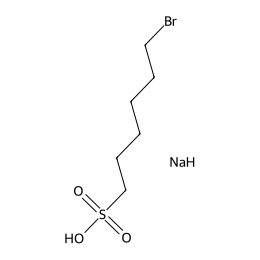 O=S(=O)(O)CCCCCCBr.[NaH]